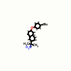 CC(C)(C)c1ccc(Oc2ccc3cc(C(C)(C)N)ccc3c2)cc1